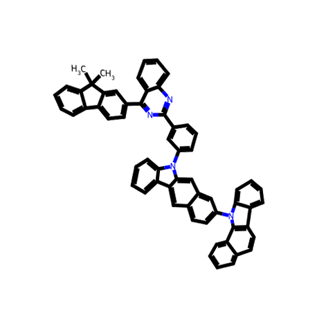 CC1(C)c2ccccc2-c2ccc(-c3nc(-c4cccc(-n5c6ccccc6c6cc7ccc(-n8c9ccccc9c9ccc%10ccccc%10c98)cc7cc65)c4)nc4ccccc34)cc21